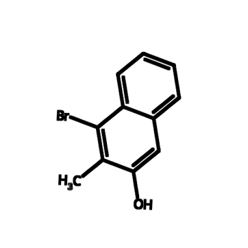 Cc1c(O)cc2ccccc2c1Br